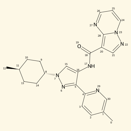 Cc1ccc(-c2nn([C@H]3CC[C@H](C)CC3)cc2NC(=O)c2cnn3cccnc23)nc1